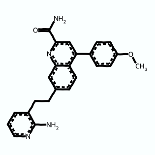 COc1ccc(-c2cc(C(N)=O)nc3cc(CCc4cccnc4N)ccc23)cc1